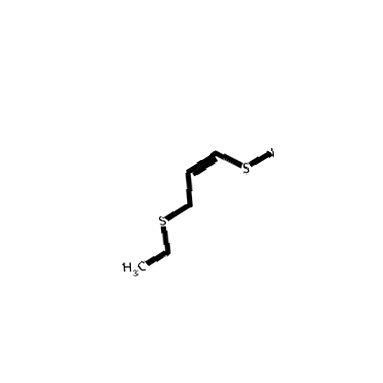 CCSC/C=C\SI